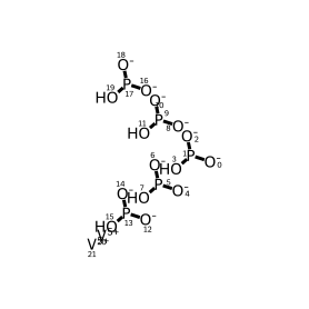 [O-]P([O-])O.[O-]P([O-])O.[O-]P([O-])O.[O-]P([O-])O.[O-]P([O-])O.[V+5].[V+5]